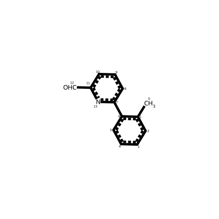 Cc1ccccc1-c1cccc(C=O)n1